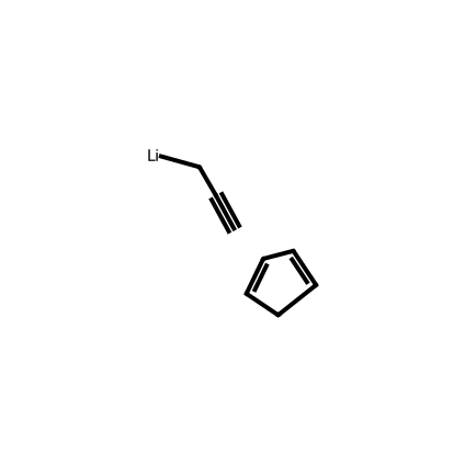 C1=CCC=C1.[Li][CH2]C#C